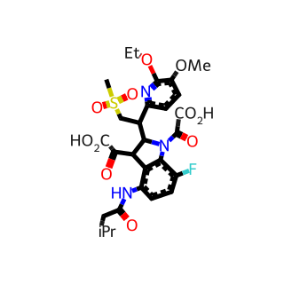 CCOc1nc(C(CS(C)(=O)=O)C2C(C(=O)C(=O)O)c3c(NC(=O)CC(C)C)ccc(F)c3N2C(=O)C(=O)O)ccc1OC